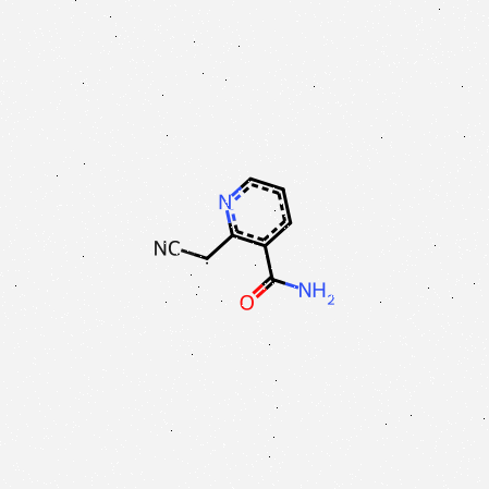 N#C[CH]c1ncccc1C(N)=O